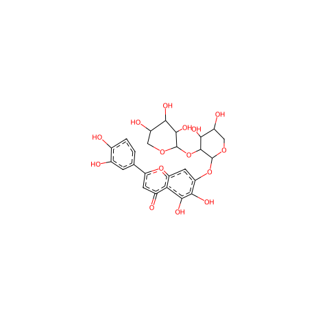 O=c1cc(-c2ccc(O)c(O)c2)oc2cc(OC3OCC(O)C(O)C3OC3OCC(O)C(O)C3O)c(O)c(O)c12